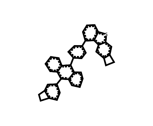 c1cc(-c2ccc(-c3c4ccccc4c(-c4ccc5c(c4)CC5)c4ccccc34)cc2)c2c(c1)sc1cc3c(cc12)CC3